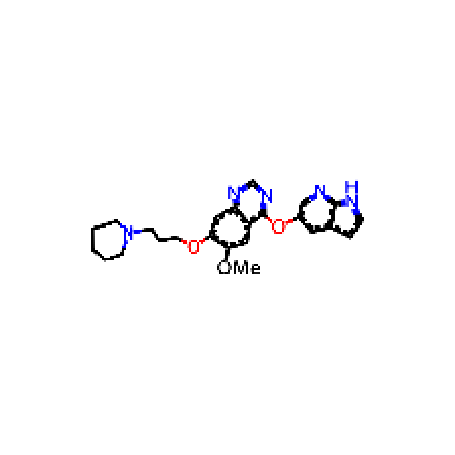 COc1cc2c(Oc3cnc4[nH]ccc4c3)ncnc2cc1OCCCN1CCCCC1